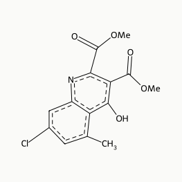 COC(=O)c1nc2cc(Cl)cc(C)c2c(O)c1C(=O)OC